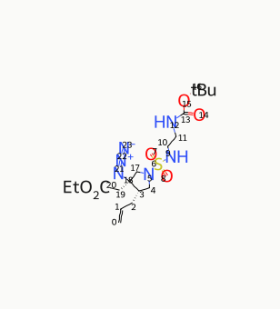 C=CC[C@H]1CN(S(=O)(=O)NCCNC(=O)OC(C)(C)C)C[C@]1(CC(=O)OCC)N=[N+]=[N-]